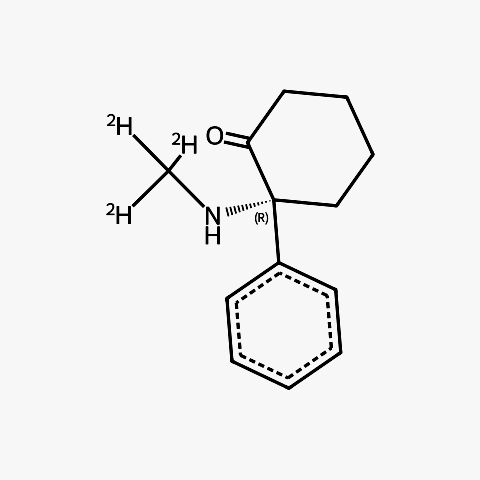 [2H]C([2H])([2H])N[C@@]1(c2ccccc2)CCCCC1=O